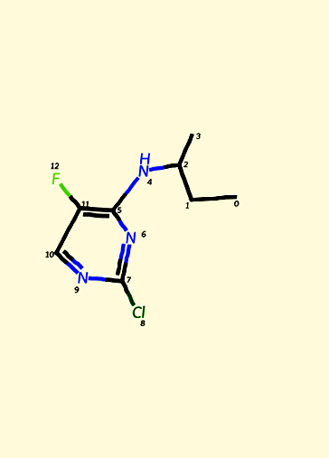 CCC(C)Nc1nc(Cl)ncc1F